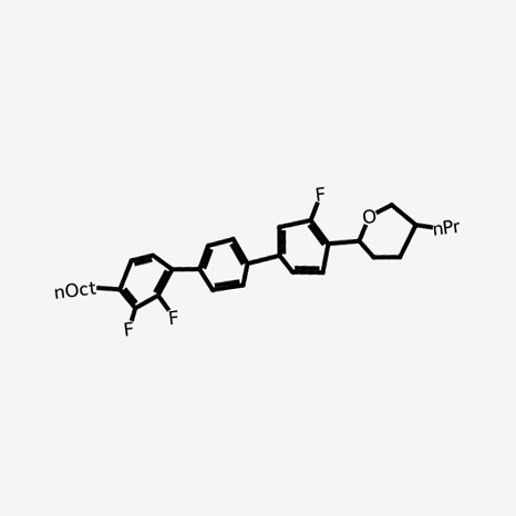 CCCCCCCCc1ccc(-c2ccc(-c3ccc(C4CCC(CCC)CO4)c(F)c3)cc2)c(F)c1F